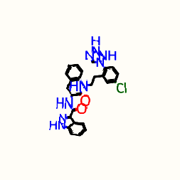 O=C(N[C@@H](Cc1ccccc1)C(=O)NCCc1cc(Cl)ccc1N1C=NNN1)c1n[nH]c2ccccc12